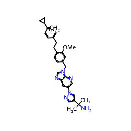 C=C(/C=C\C(=C/C)CCc1ccc(Cn2cnc3cc(-n4cc(C(C)(C)N)cn4)cnc32)cc1OC)C1CC1